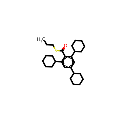 CCCSC(=O)c1c(C2CCCCC2)cc(C2CCCCC2)cc1C1CCCCC1